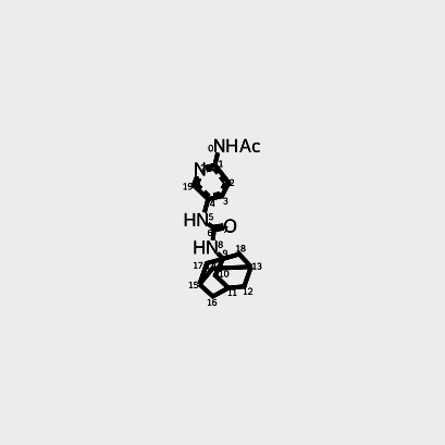 CC(=O)Nc1ccc(NC(=O)NC23CC4CC(CC(C4)C2)C3)cn1